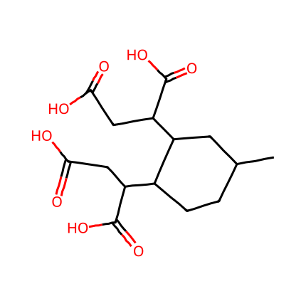 CC1CCC(C(CC(=O)O)C(=O)O)C(C(CC(=O)O)C(=O)O)C1